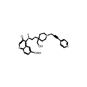 COc1ccc2ncc(Cl)c([C@@H](F)CCC3(CO)CCN(CC#Cc4ccncc4)CC3)c2c1